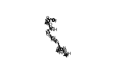 Cc1n[nH]c(Nc2ncnc3cc(OCCCN4CCN(c5ncc(OC[C@H]6CN(C[C@H]7CN[C@H](C)CN7CC(=O)N7CC(C)(C)c8c7cc(Cc7ccc(F)cc7)c(=O)n8C)[C@H](C)CO6)cn5)CC4)c(S(=O)(=O)C(C)(C)C)cc23)c1C